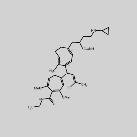 CC/C(C)=C\N(C1=CC(OC)=C(C(=O)NCC(F)(F)F)C(OC)=CC1)C1=C/C=C(/CC(C=N)CCNC2CC2)CC\C=C\1C